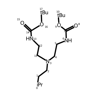 CC(C)CCN(CCNC(=O)OC(C)(C)C)CCNC(=O)OC(C)(C)C